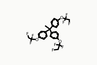 CC(c1ccc(OC(F)(F)CF)cc1)(c1ccc(OC(F)(F)CF)cc1)c1ccc(OC(F)(F)CF)cc1